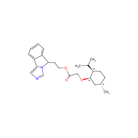 CC(C)[C@H]1CC[C@H](C)C[C@H]1OCC(=O)OCCC1c2ccccc2-c2cncn21